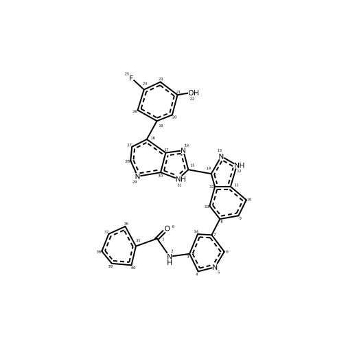 O=C(Nc1cncc(-c2ccc3[nH]nc(-c4nc5c(-c6cc(O)cc(F)c6)ccnc5[nH]4)c3c2)c1)c1ccccc1